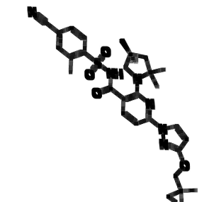 Cc1cc(C#N)ccc1S(=O)(=O)NC(=O)c1ccc(-n2ccc(OCC3(C)CC3)n2)nc1N1C[C@@H](C)CC1(C)C